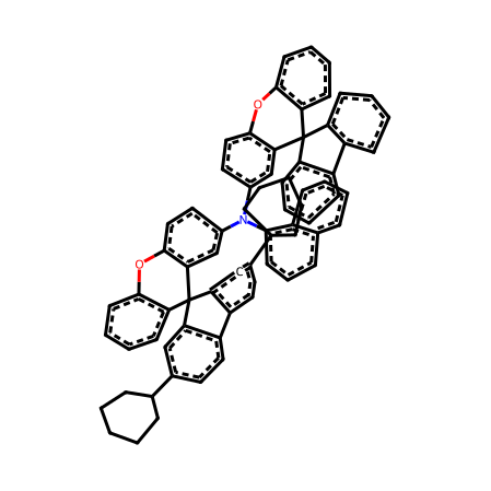 c1ccc2c(c1)Oc1ccc(N(c3ccc4c(c3)C3(c5ccccc5O4)c4cc(C5CCCCC5)ccc4-c4ccc(C5CCCCC5)cc43)c3cccc4ccccc34)cc1C21c2ccccc2-c2ccccc21